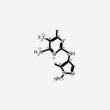 CCCn1ncc(Nc2nc(C)c(C(F)(F)F)c(N)n2)c1C